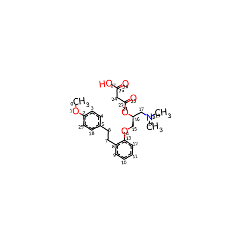 COc1ccc(CCc2ccccc2OC[C@H](CN(C)C)OC(=O)CC(=O)O)cc1